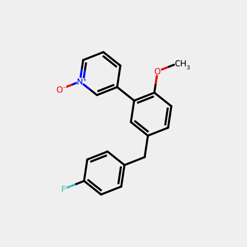 COc1ccc(Cc2ccc(F)cc2)cc1-c1ccc[n+]([O-])c1